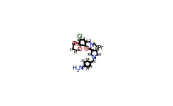 CC(C)CN(Cc1cc(Cl)c2c(c1)OCCCO2)C(=O)[C@@H]1CCN(Cc2ccc(N)cc2)C1